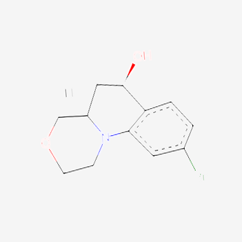 O[C@@H]1C[C@@H]2COCCN2c2cc(Br)ccc21